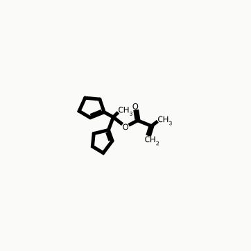 C=C(C)C(=O)OC(C)(C1=CCCC1)C1=CCCC1